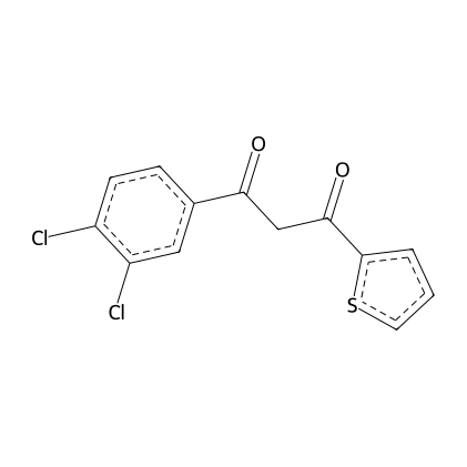 O=C(CC(=O)c1cccs1)c1ccc(Cl)c(Cl)c1